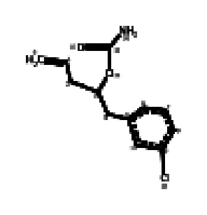 C=CCC(Cc1cccc(Cl)c1)OC(N)=O